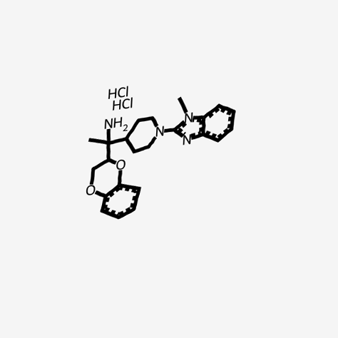 Cl.Cl.Cn1c(N2CCC(C(C)(N)C3COc4ccccc4O3)CC2)nc2ccccc21